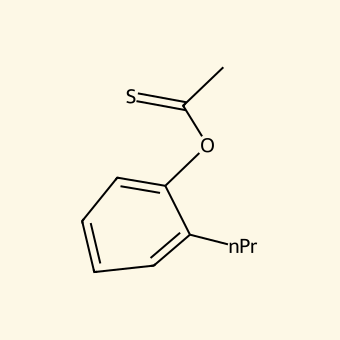 CCCc1ccccc1OC(C)=S